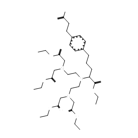 CCOC(=O)CN(CCN(CCN(CC(=O)OCC)CC(=O)OCC)C(CCCc1ccc(CCC(=O)O)cc1)C(=O)OCC)CC(=O)OCC